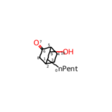 CCCCCC1C2CCC(C(=O)C2)C1O